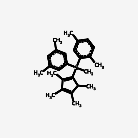 CC1=C(C)C(C)C([Si](C)(c2cc(C)cc(C)c2)c2cc(C)ccc2C)=C1C